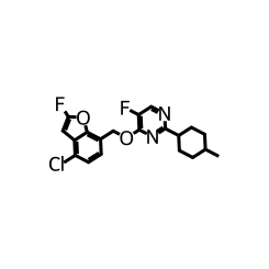 CC1CCC(c2ncc(F)c(OCc3ccc(Cl)c4cc(F)oc34)n2)CC1